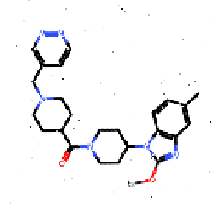 CCOc1nc2cc(C)ccc2n1C1CCN(C(=O)C2CCN(Cc3ccnnc3)CC2)CC1